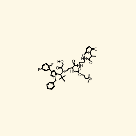 CC(C(=O)NCCNC(=O)C(CCN(C(=O)CO)C(c1cc(-c2cc(F)ccc2F)cn1Cc1ccccc1)C(C)(C)C)NC(=O)OCC[Si](C)(C)C)N1C(=O)C=CC1=O